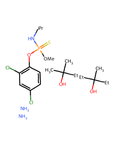 CCC(C)(C)O.CCC(C)(O)CC.COP(=S)(NC(C)C)Oc1ccc(Cl)cc1Cl.N.N